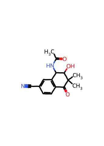 CC(=O)NC1c2cc(C#N)ccc2C(=O)C(C)(C)C1O